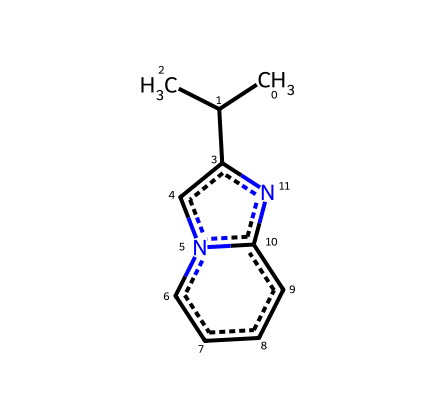 CC(C)c1cn2ccccc2n1